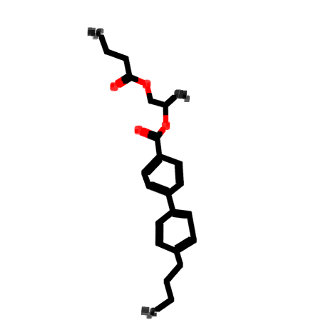 CCCCc1ccc(-c2ccc(C(=O)OC(C)COC(=O)CCC)cc2)cc1